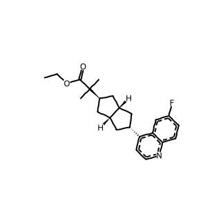 CCOC(=O)C(C)(C)[C@@H]1C[C@H]2C[C@@H](c3ccnc4ccc(F)cc34)C[C@H]2C1